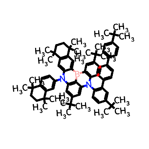 CC(C)(C)c1ccc(-c2ccc(-c3cc(C(C)(C)C)ccc3N3c4ccc(C(C)(C)C)cc4B4c5cc6c(cc5N(c5ccc7c(c5)C(C)(C)CCC7(C)C)c5cc(C(C)(C)C)cc3c54)C(C)(C)CCC6(C)C)cc2)cc1